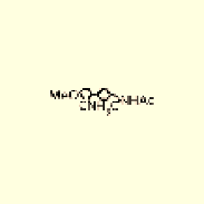 COc1ccc(-c2ccc(CC(C)NC(C)=O)cc2)c(C#N)c1